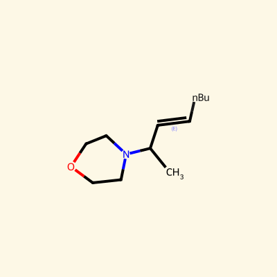 CCCC/C=C/C(C)N1CCOCC1